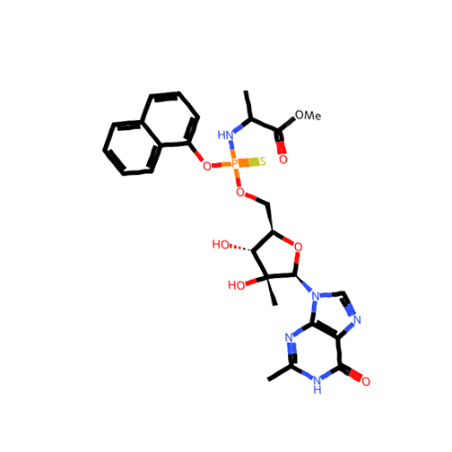 COC(=O)C(C)NP(=S)(OC[C@H]1O[C@@H](n2cnc3c(=O)[nH]c(C)nc32)[C@](C)(O)[C@@H]1O)Oc1cccc2ccccc12